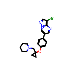 Brc1cnn2cc(-c3ccc(OC4(CN5CCCCC5)CC4)cc3)cnc12